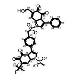 CS(=O)(=O)N1C=C(c2ccc(CS(=O)(=O)N3C=C(c4ccccc4)C4C(=O)C(=O)C(CO)=CC43)cc2)C2C(=O)C(=O)C(C(F)(F)F)=CC21